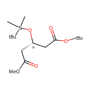 COC(=O)C[C@@H](CC(=O)OC(C)(C)C)O[Si](C)(C)C(C)(C)C